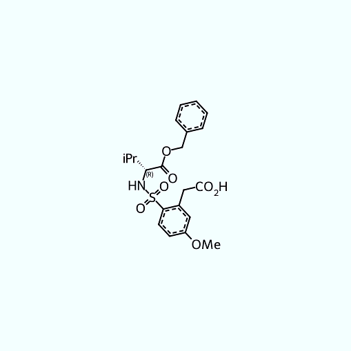 COc1ccc(S(=O)(=O)N[C@@H](C(=O)OCc2ccccc2)C(C)C)c(CC(=O)O)c1